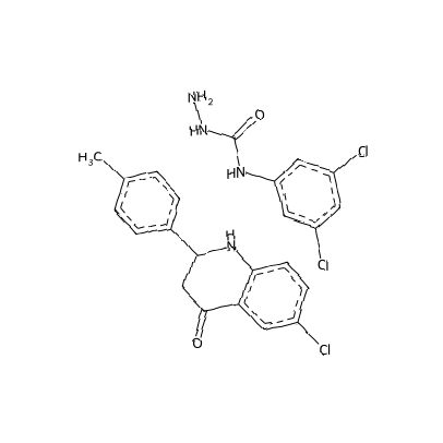 Cc1ccc(C2CC(=O)c3cc(Cl)ccc3N2)cc1.NNC(=O)Nc1cc(Cl)cc(Cl)c1